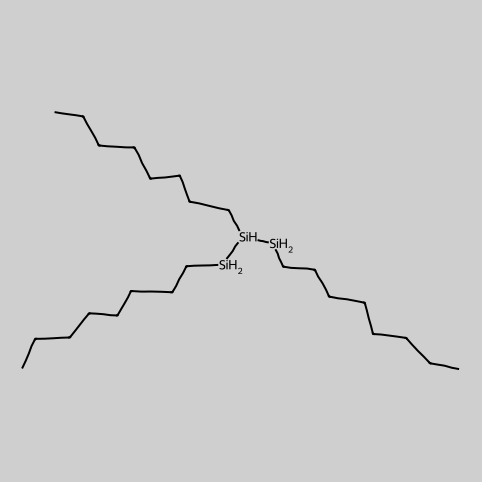 CCCCCCCC[SiH2][SiH](CCCCCCCC)[SiH2]CCCCCCCC